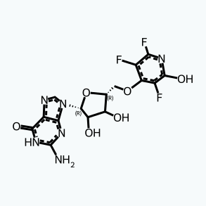 Nc1nc2c(ncn2[C@@H]2O[C@H](COc3c(F)c(O)nc(F)c3F)C(O)C2O)c(=O)[nH]1